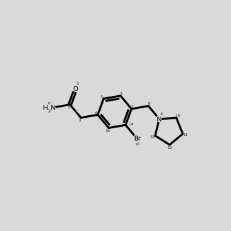 NC(=O)Cc1ccc(CN2CCCC2)c(Br)c1